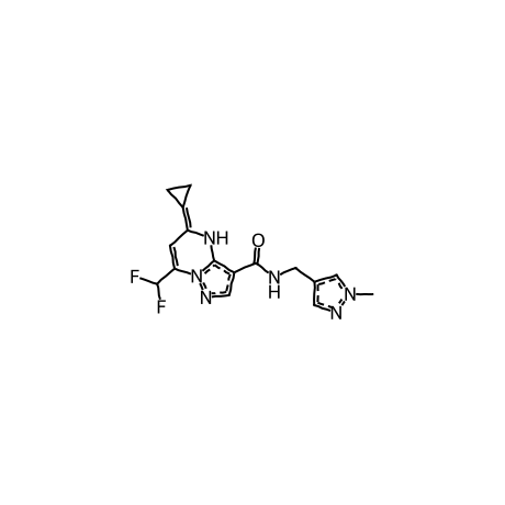 Cn1cc(CNC(=O)c2cnn3c2NC(=C2CC2)C=C3C(F)F)cn1